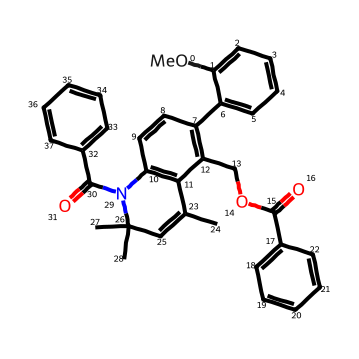 COc1ccccc1-c1ccc2c(c1COC(=O)c1ccccc1)C(C)=CC(C)(C)N2C(=O)c1ccccc1